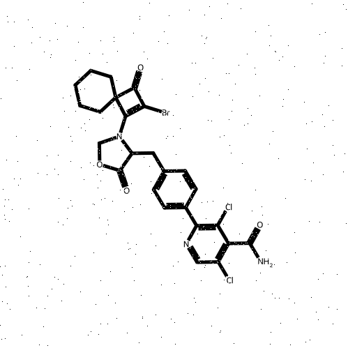 NC(=O)c1c(Cl)cnc(-c2ccc(CC3C(=O)OCN3C3=C(Br)C(=O)C34CCCCC4)cc2)c1Cl